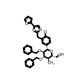 C[C@H]1[C@H](OCc2ccccc2)[C@@H](OCc2ccccc2)[C@H](c2ccc(Cl)c(Cc3ncc(-c4ccco4)s3)c2)O[C@@H]1CO